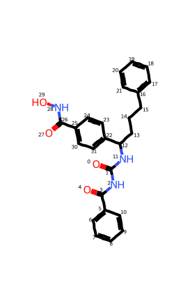 O=C(NC(=O)c1ccccc1)NC(CCCc1ccccc1)c1ccc(C(=O)NO)cc1